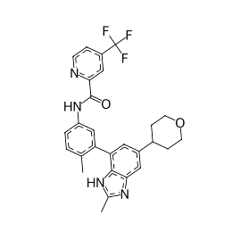 Cc1nc2cc(C3CCOCC3)cc(-c3cc(NC(=O)c4cc(C(F)(F)F)ccn4)ccc3C)c2[nH]1